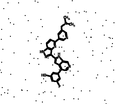 CN(C)Cc1cncc(-c2ccc3[nH]nc(-c4cc5c(-c6cc(O)cc(F)c6)cncc5[nH]4)c3n2)c1